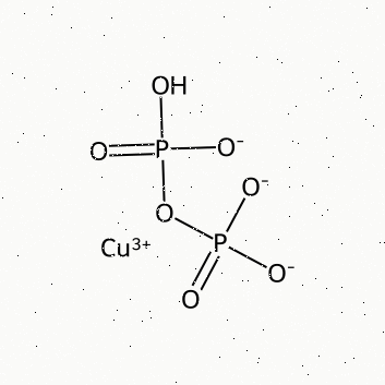 O=P([O-])([O-])OP(=O)([O-])O.[Cu+3]